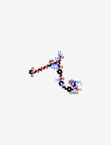 CCCCOc1nc(N)c2nc(O)n(Cc3ccc(CCCN4CCC(NC(=O)OCc5ccc(NC(=O)[C@H](CCCNC(N)=O)NC(=O)[C@@H](NC(=O)CCOCCOCCOCCN6C(=O)C=CC6=O)C(C)C)cc5)CC4)cc3OC)c2n1